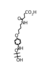 CC(C)(O)C(C)(C)OBc1ccc(OCCCCNC(=O)CCC(=O)O)cc1